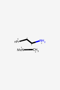 CCCCCN.CNC